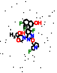 CCc1c(F)ccc2cc(O)cc(-c3c(F)cc4c(N5CCOCC(C)(O)C5)nc(OC[C@@]56CCCN5C[C@H](F)C6)nc4c3F)c12